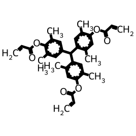 C=CC(=O)Oc1cc(C)c(C(c2cc(C)c(OC(=O)C=C)c(C)c2)c2cc(C)c(OC(=O)C=C)cc2C)cc1C